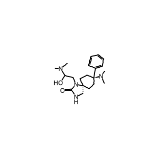 CN(C)C(O)CN1C(=O)NC[C@]12CC[C@](c1ccccc1)(N(C)C)CC2